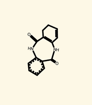 O=C1Nc2ccccc2C(=O)NC2=C1CCC=C2